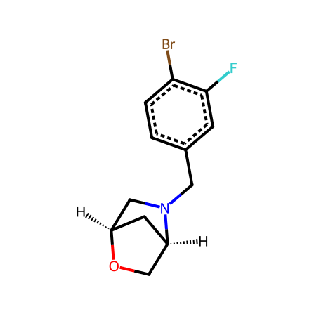 Fc1cc(CN2C[C@H]3C[C@@H]2CO3)ccc1Br